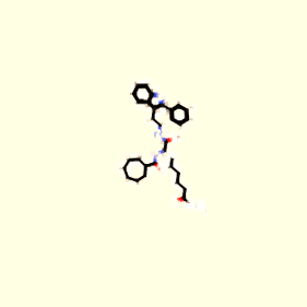 CC(=O)CCCCC[C@H](NC(=O)C1CCCCCC1)C(=O)NCCc1c(-c2ccccc2)[nH]c2ccccc12